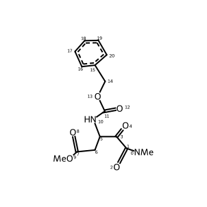 CNC(=O)C(=O)C(CC(=O)OC)NC(=O)OCc1ccccc1